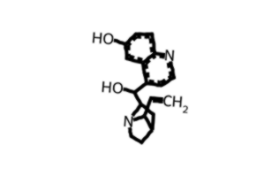 C=CC1C2CCN1C(C(O)c1ccnc3ccc(O)cc13)C2